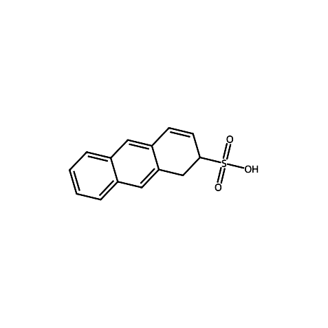 O=S(=O)(O)C1C=Cc2cc3ccccc3cc2C1